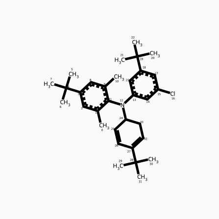 Cc1cc(C(C)(C)C)cc(C)c1N(c1cc(Cl)cc(C(C)(C)C)c1)C1C=CC(C(C)(C)C)=CC1